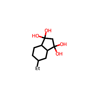 CCC1CCC2C(C1)C(O)(O)CC2(O)O